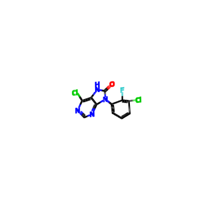 O=c1[nH]c2c(Cl)ncnc2n1-c1cccc(Cl)c1F